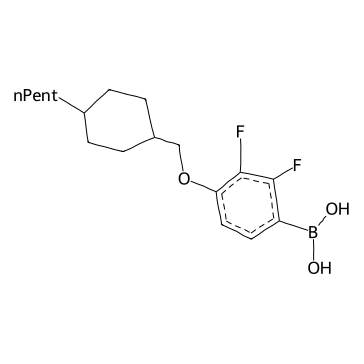 CCCCCC1CCC(COc2ccc(B(O)O)c(F)c2F)CC1